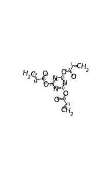 C=CC(=O)Oc1nc(OC(=O)C=C)nc(OC(=O)C=C)n1